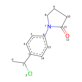 CC(Cl)c1ccc(N2CCCC2=O)cc1